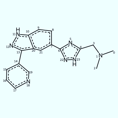 CN(C)Cc1nc(-c2ccc3[nH]nc(-c4cccnc4)c3c2)n[nH]1